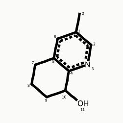 Cc1cnc2c(c1)CCCC2O